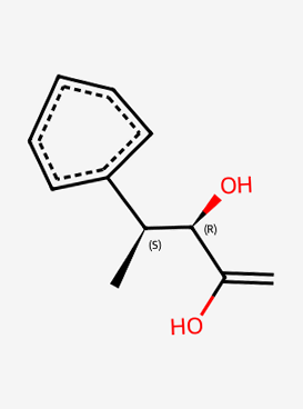 C=C(O)[C@H](O)[C@@H](C)c1ccccc1